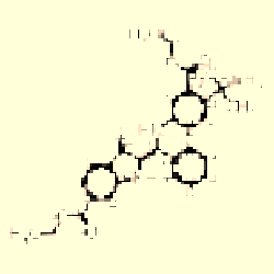 CCOC(=O)c1ccc2c(c1)NC(=C(Nc1ccc(C(C)(C)N)c(C(=O)OCC)c1)c1ccccc1)C2=O